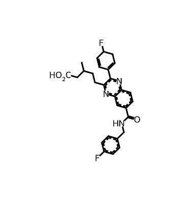 CC(CCc1nc2cc(C(=O)NCc3ccc(F)cc3)ccc2nc1C1=CCC(F)C=C1)CC(=O)O